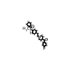 CC1(C(=O)NC2CCC(CCN3CCC(C(=O)c4ccc(F)cc4)CC3)CC2)CCCCC1